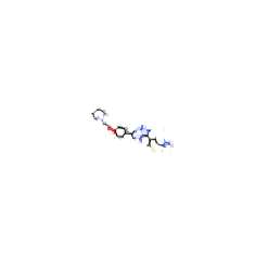 CC(C)NC(c1cc(-c2cnn3cc(-c4ccc(OCCN5CCCCC5)cc4)cnc23)cs1)C(F)(F)F